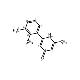 Cc1cc(=O)cc(-c2cccc(C)c2C)[nH]1